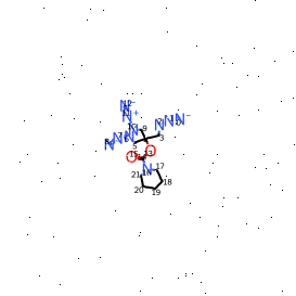 [N-]=[N+]=NCC(CN=[N+]=[N-])(CN=[N+]=[N-])OC(=O)N1CCCCC1